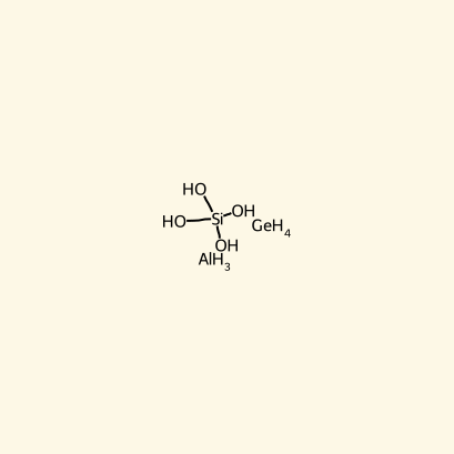 O[Si](O)(O)O.[AlH3].[GeH4]